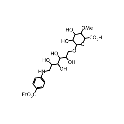 CCOC(=O)c1ccc(NCC(O)C(O)C(O)C(O)COC2OC(C(=O)O)C(OC)C(O)C2O)cc1